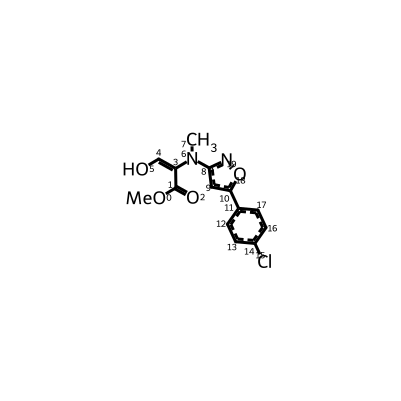 COC(=O)/C(=C\O)N(C)c1cc(-c2ccc(Cl)cc2)on1